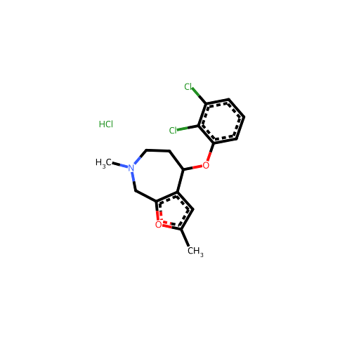 Cc1cc2c(o1)CN(C)CCC2Oc1cccc(Cl)c1Cl.Cl